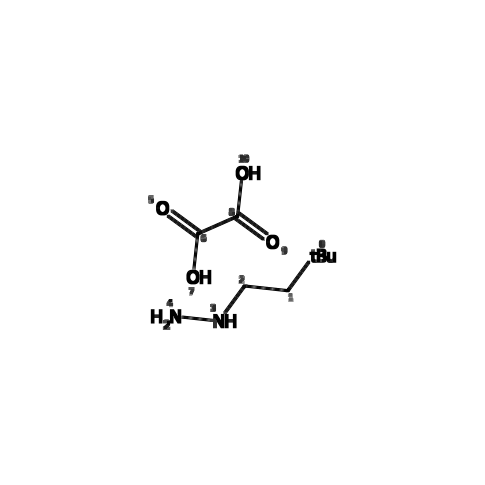 CC(C)(C)CCNN.O=C(O)C(=O)O